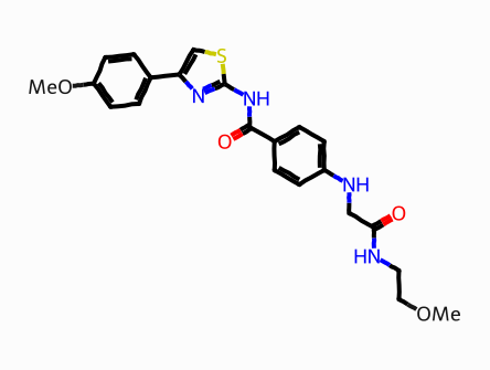 COCCNC(=O)CNc1ccc(C(=O)Nc2nc(-c3ccc(OC)cc3)cs2)cc1